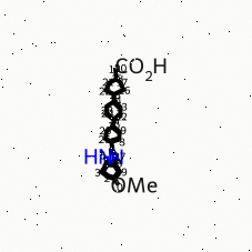 COc1ccc2[nH]c(C3=CC=C(C4=CC=C(C5CCC(CC(=O)O)CC5)CC4)CC3)nc2c1